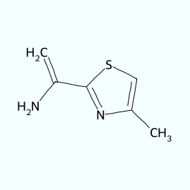 C=C(N)c1nc(C)cs1